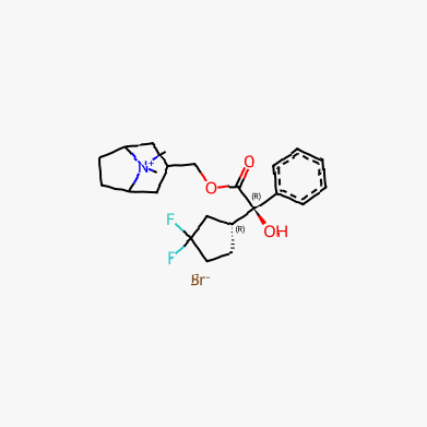 C[N+]1(C)C2CCC1CC(COC(=O)[C@](O)(c1ccccc1)[C@@H]1CCC(F)(F)C1)C2.[Br-]